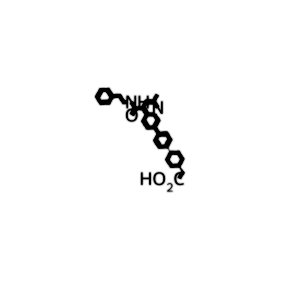 Cc1cc(C(=O)NCCc2ccccc2)c2ccc(-c3ccc([C@H]4CC[C@H](CC(=O)O)CC4)cc3)cc2n1